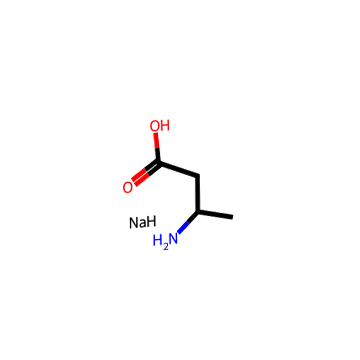 CC(N)CC(=O)O.[NaH]